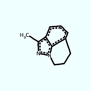 Cc1nn2c3c(cccc13)CCC2